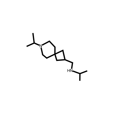 CC(C)NCC1CC2(CCN(C(C)C)CC2)C1